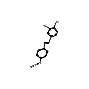 [N-]=[N+]=Nc1ccc(/C=C/c2ccc(O)c(O)c2)cc1